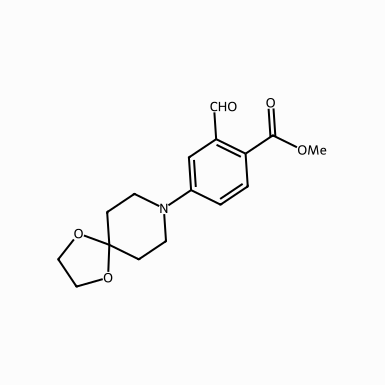 COC(=O)c1ccc(N2CCC3(CC2)OCCO3)cc1C=O